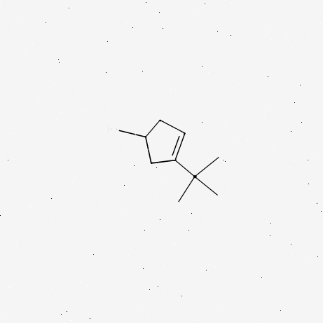 CC(C)(C)C1=CCC(O)C1